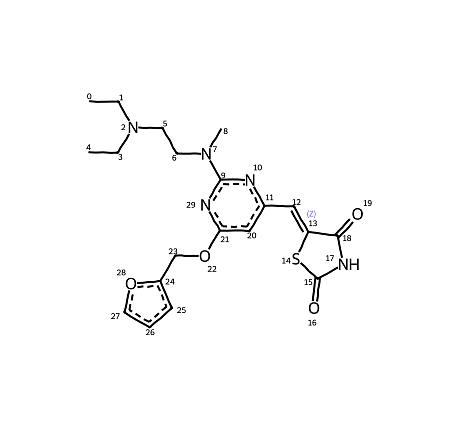 CCN(CC)CCN(C)c1nc(/C=C2\SC(=O)NC2=O)cc(OCc2ccco2)n1